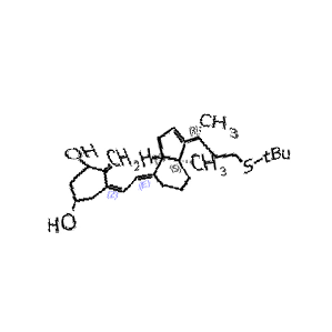 C=C1/C(=C\C=C2/CCC[C@]3(C)C([C@H](C)CCSC(C)(C)C)=CC[C@@H]23)CC(O)CC1O